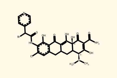 CN(C)[C@@H]1C(O)=C(C(N)=O)C(=O)[C@@]2(O)C(O)=C3C(=O)c4c(cc(Cl)c(NC(=O)C(Br)c5ccncc5)c4O)CC3CC12